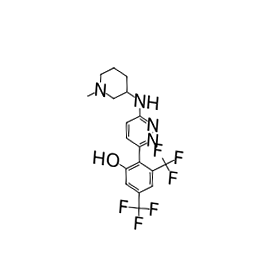 CN1CCCC(Nc2ccc(-c3c(O)cc(C(F)(F)F)cc3C(F)(F)F)nn2)C1